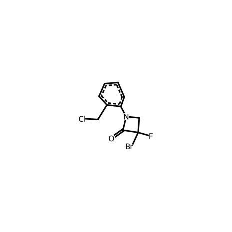 O=C1N(c2ccccc2CCl)CC1(F)Br